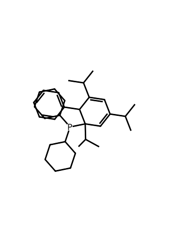 CC(C)C1=CC(C(C)C)(P(C2CCCCC2)C2CCCCC2)C(c2ccccc2)C(C(C)C)=C1